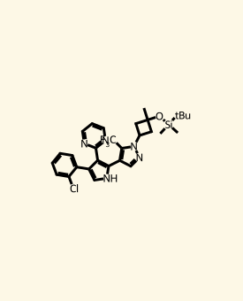 CC1(O[Si](C)(C)C(C)(C)C)CC(n2ncc(-c3[nH]cc(-c4ccccc4Cl)c3-c3ncccn3)c2C(F)(F)F)C1